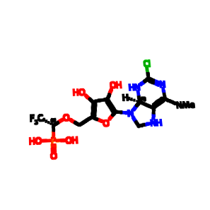 CNC1=C2NCN(c3oc(CO[C@@H](C(F)(F)F)P(=O)(O)O)c(O)c3O)[C@H]2NC(Cl)=N1